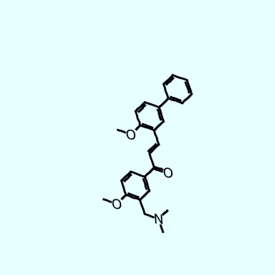 COc1ccc(-c2ccccc2)cc1C=CC(=O)c1ccc(OC)c(CN(C)C)c1